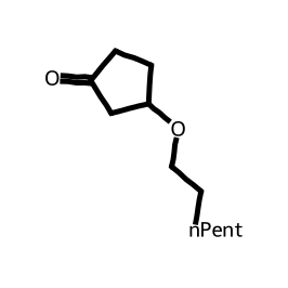 CCCCCCCOC1CCC(=O)C1